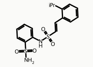 CC(C)c1ccccc1/C=C/S(=O)(=O)Nc1ccccc1S(N)(=O)=O